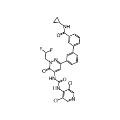 O=C(Nc1c(Cl)cncc1Cl)Nc1cc(-c2cccc(-c3cccc(C(=O)NC4CC4)c3)c2)nn(CC(F)F)c1=O